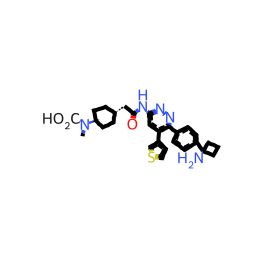 CN(C(=O)O)[C@H]1CC[C@H](CC(=O)Nc2cc(-c3ccsc3)c(-c3ccc(C4(N)CCC4)cc3)nn2)CC1